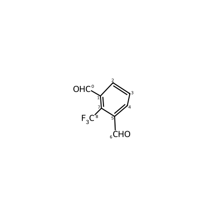 O=Cc1cccc(C=O)c1C(F)(F)F